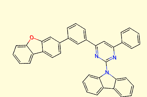 c1ccc(-c2cc(-c3cccc(-c4ccc5c(c4)oc4ccccc45)c3)nc(-n3c4ccccc4c4ccccc43)n2)cc1